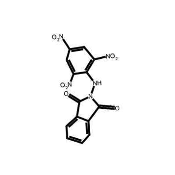 O=C1c2ccccc2C(=O)N1Nc1c([N+](=O)[O-])cc([N+](=O)[O-])cc1[N+](=O)[O-]